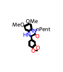 CCCCCNC(=O)C(Nc1ccc(OC)c(OC)c1)c1ccc2c(c1)OCO2